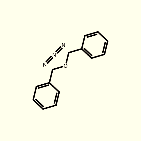 [N-]=[N+]=[N-].c1ccc(COCc2ccccc2)cc1